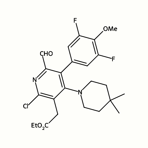 CCOC(=O)Cc1c(Cl)nc(C=O)c(-c2cc(F)c(OC)c(F)c2)c1N1CCC(C)(C)CC1